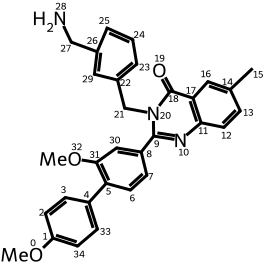 COc1ccc(-c2ccc(-c3nc4ccc(C)cc4c(=O)n3Cc3cccc(CN)c3)cc2OC)cc1